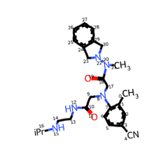 Cc1cc(C#N)ccc1N(CC(=O)NCCNC(C)C)CC(=O)N(C)N1Cc2ccccc2C1